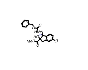 COC(=O)C1(O)Cc2cc(Cl)ccc2/C1=N/NC(=O)OCc1ccccc1